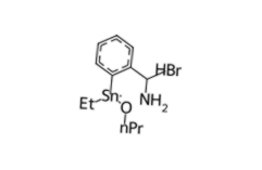 Br.CCC[O][Sn]([CH2]C)[c]1ccccc1C(C)N